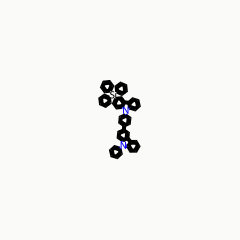 c1ccc(-n2c3ccccc3c3cc(-c4ccc(-n5c6ccccc6c6cc([Si](c7ccccc7)(c7ccccc7)c7ccccc7)ccc65)cc4)ccc32)cc1